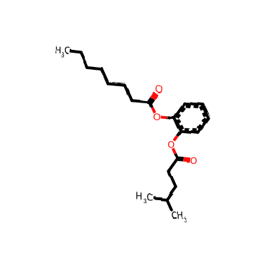 CCCCCCCC(=O)Oc1ccccc1OC(=O)CCC(C)C